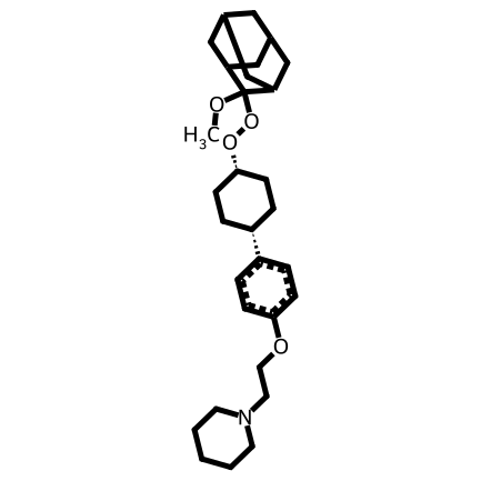 COC1(OO[C@H]2CC[C@@H](c3ccc(OCCN4CCCCC4)cc3)CC2)C2CC3CC(C2)CC1C3